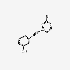 Oc1cccc(C#Cc2cccc(Br)c2)c1